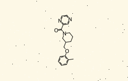 Cc1ccccc1OCC1CCCN(C(=O)c2cnccn2)C1